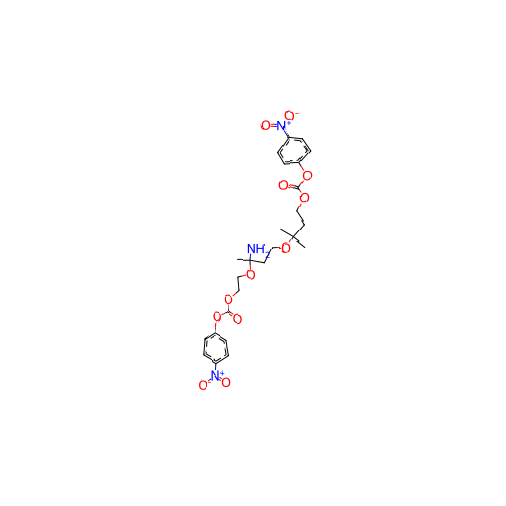 CC(C)(CCOC(=O)Oc1ccc([N+](=O)[O-])cc1)OCCC(C)(N)OCCOC(=O)Oc1ccc([N+](=O)[O-])cc1